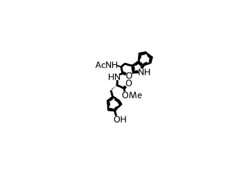 COC(=O)[C@H](Cc1ccc(O)cc1)NC(=O)[C@H](Cc1c[nH]c2ccccc12)NC(C)=O